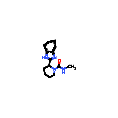 CNC(=O)N1CCCCC1c1nc2ccccc2[nH]1